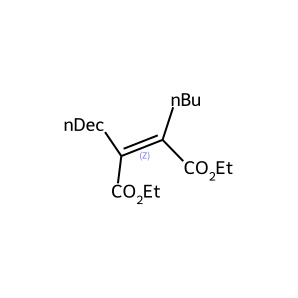 CCCCCCCCCC/C(C(=O)OCC)=C(\CCCC)C(=O)OCC